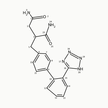 NC(=O)CC(Cc1ccc(-c2ccccc2-c2nnn[nH]2)cc1)C(N)=O